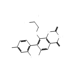 C[C@@H](O)CSc1c(-c2ccc(F)cc2F)c(Cl)cc2c(=O)[nH]c(=O)[nH]c12